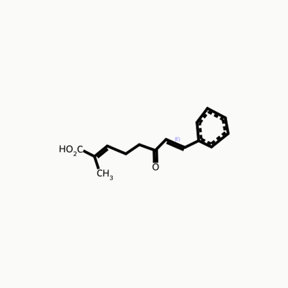 CC(=CCCC(=O)/C=C/c1ccccc1)C(=O)O